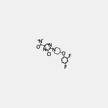 CN(C)C(=O)c1cnc(N2CCC(Oc3ccc(F)cc3F)CC2)c(Cl)n1